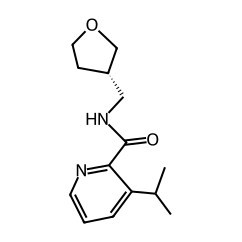 CC(C)c1cccnc1C(=O)NC[C@@H]1CCOC1